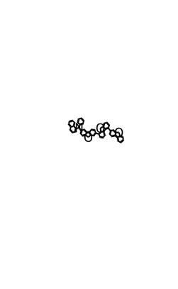 c1ccc(N(c2ccc3oc4cc(-c5cccc6c5oc5cccc(-c7ccc8c(c7)oc7ccccc78)c56)ccc4c3c2)c2cccc3ccccc23)cc1